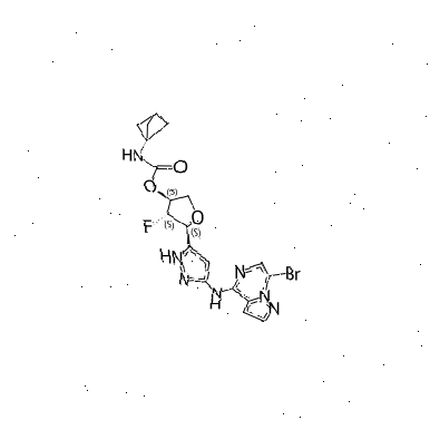 O=C(NC12CC(C1)C2)O[C@H]1CO[C@@H](c2cc(Nc3ncc(Br)n4nccc34)n[nH]2)[C@@H]1F